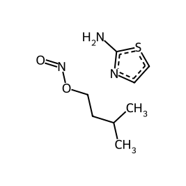 CC(C)CCON=O.Nc1nccs1